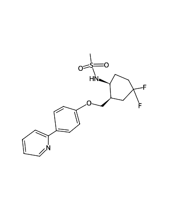 CS(=O)(=O)N[C@H]1CCC(F)(F)C[C@H]1COc1ccc(-c2ccccn2)cc1